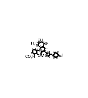 COc1c(C(=O)O)cccc1-n1c2c(cc(-c3nc(-c4ccc(Cl)cc4)cs3)c1=O)C(=O)CC(C)(C)C2